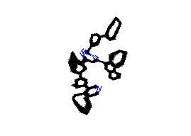 c1ccc(-c2cccc(-c3nc(-c4cccc(-c5cccc(-c6cncc7ccccc67)c5)c4)cc(-c4cc5ccccc5c5ccccc45)n3)c2)cc1